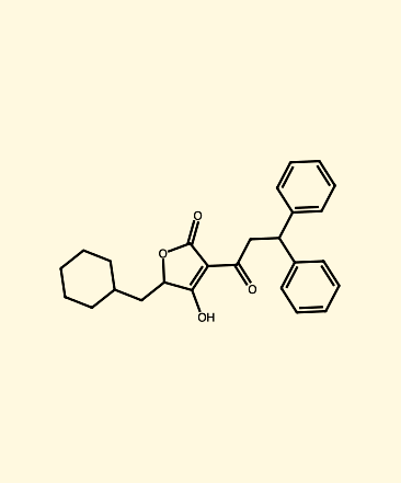 O=C(CC(c1ccccc1)c1ccccc1)C1=C(O)C(CC2CCCCC2)OC1=O